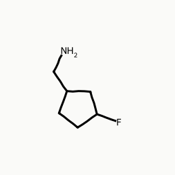 NCC1CCC(F)C1